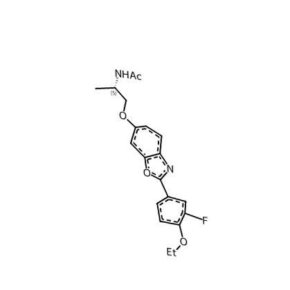 CCOc1ccc(-c2nc3ccc(OC[C@H](C)NC(C)=O)cc3o2)cc1F